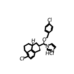 Cl.Clc1ccc(CO[C@H]([C@H]2Cc3ccc(Cl)c4c3[C@H](CCC4)C2)n2ccnc2)cc1